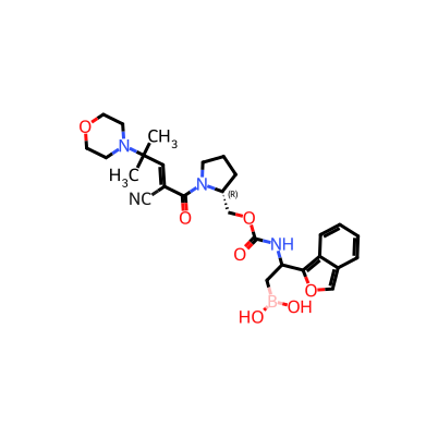 CC(C)(C=C(C#N)C(=O)N1CCC[C@@H]1COC(=O)NC(CB(O)O)c1occ2ccccc12)N1CCOCC1